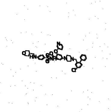 O=C(NS(=O)(=O)c1ccc(NCC2CCOCC2)cc1)c1ccc(N2CCN(Cc3cc(Cl)ccc3-c3ccccc3)CC2)cc1Oc1cccnc1